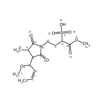 C/C=C\C(OC)C1C(=O)N(CCC(C(=O)OC)S(=O)(=O)O)C(=O)C1C